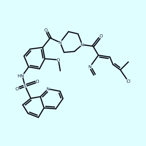 C=N/C(=C\C=C(/C)Cl)C(=O)N1CCN(C(=O)c2ccc(NS(=O)(=O)c3cccc4cccnc34)cc2OC)CC1